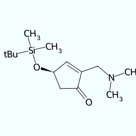 CN(C)CC1=C[C@H](O[Si](C)(C)C(C)(C)C)CC1=O